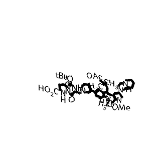 CCn1c(-c2cc(N3CCN4CCCC[C@@H]4C3)cnc2C(C)OC)c(CC(C)(C)COC(C)=O)c2cc(C3=CCCN(CC(NC(=O)OC(C)(C)C)C(=O)N4CCC[C@@H](C(=O)O)N4)C3)ccc21